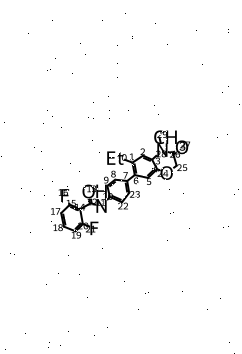 CCc1cc2c(cc1-c1ccc(NC(=O)c3c(F)cccc3F)cc1)OCC(=O)N2C